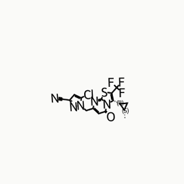 C[C@H]1C[C@H]1c1c(C(F)(F)F)sc2nc(Cn3nc(C#N)cc3Cl)cc(=O)n12